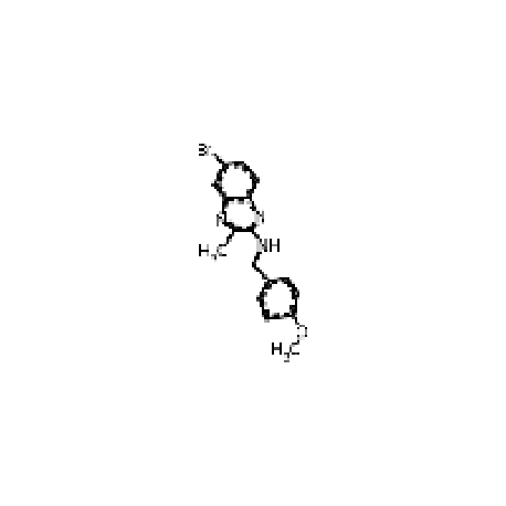 COc1ccc(CNc2nc3ccc(Br)cc3nc2C)cc1